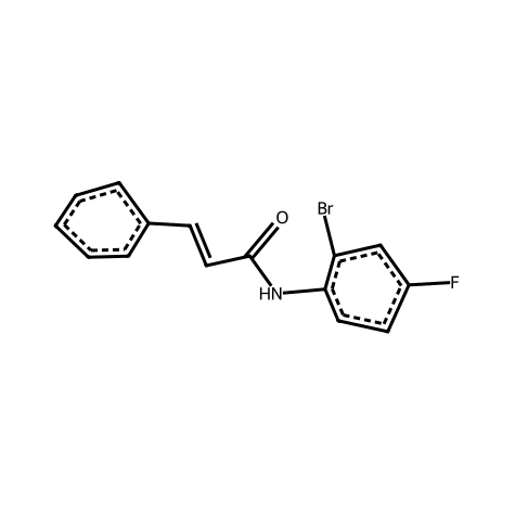 O=C(C=Cc1ccccc1)Nc1ccc(F)cc1Br